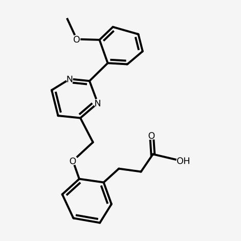 COc1ccccc1-c1nccc(COc2ccccc2CCC(=O)O)n1